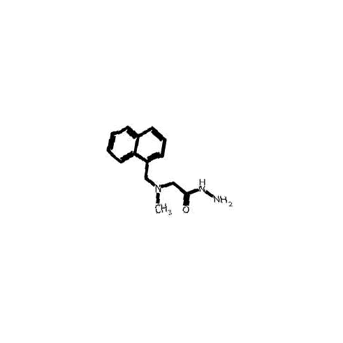 CN(CC(=O)NN)Cc1cccc2ccccc12